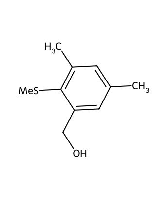 CSc1c(C)cc(C)cc1CO